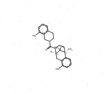 CC1(C)[C@H]2Cc3c(O)cccc3[C@]1(C)CCN2C(=O)N1CCc2cccc(O)c2C1